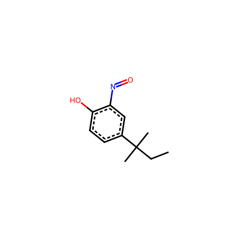 CCC(C)(C)c1ccc(O)c(N=O)c1